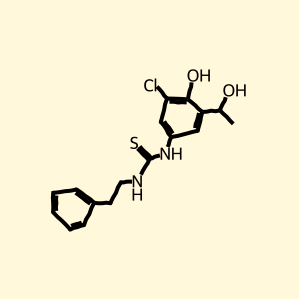 CC(O)c1cc(NC(=S)NCCc2ccccc2)cc(Cl)c1O